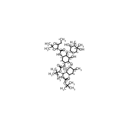 CCC1OC(C)(C)O[C@@H]1C(=O)N[C@@H]1C[C@H](NC(=O)OC(C)(C)C)C(O[C@H]2O[C@H](CNC(=O)OC(C)(C)C)CCC2C)C(O)C1O[C@H]1OCC(C)(O)[C@H](C)C1O